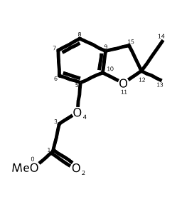 COC(=O)COc1cccc2c1OC(C)(C)C2